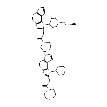 N#CCCN1CCC(n2c(CC(=O)N3CCOCC3)nc3cnc4[nH]ccc4c32)CC1.O=C(Cc1nc2cnc3[nH]ccc3c2n1C1CCNCC1)N1CCOCC1